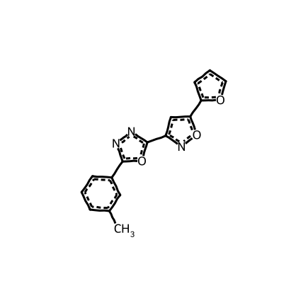 Cc1cccc(-c2nnc(-c3cc(-c4ccco4)on3)o2)c1